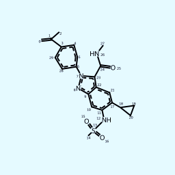 C=C(C)c1ccc(-n2nc3cc(NS(C)(=O)=O)c(C4CC4)cc3c2C(=O)NC)cc1